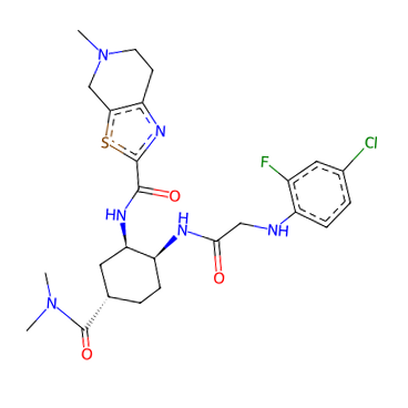 CN1CCc2nc(C(=O)N[C@@H]3C[C@@H](C(=O)N(C)C)CC[C@@H]3NC(=O)CNc3ccc(Cl)cc3F)sc2C1